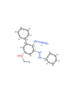 CCO.[N-]=[N+]=Nc1c(N=Nc2ccccc2)cccc1-c1ccccc1